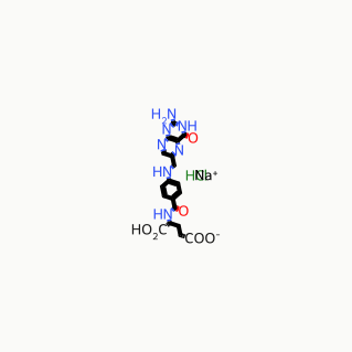 Cl.Nc1nc2ncc(CNc3ccc(C(=O)NC(CCC(=O)[O-])C(=O)O)cc3)nc2c(=O)[nH]1.[Na+]